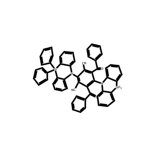 N#Cc1c(C(=O)c2ccccc2)c(N2c3ccccc3[SiH2]c3ccccc32)c(C(=O)c2ccccc2)c(C#N)c1N1c2ccccc2[Si](c2ccccc2)(c2ccccc2)c2ccccc21